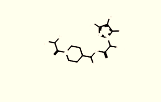 Cc1nn(C(C)C(=O)NC(C)C2CCN(C(=O)C(C)N)CC2)c(C)c1Br